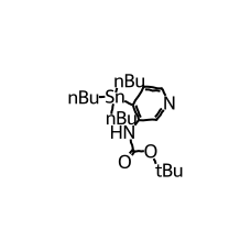 CCC[CH2][Sn]([CH2]CCC)([CH2]CCC)[c]1ccncc1NC(=O)OC(C)(C)C